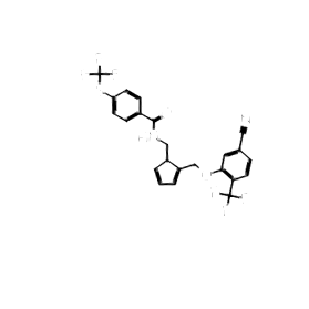 N#Cc1ccc(C(F)(F)F)c(OCC2=CC=CC2CNC(=O)c2ccc(SC(F)(F)F)cc2)c1